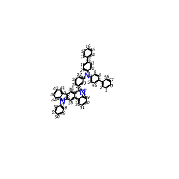 c1ccc(-c2ccc(N(c3ccc(-c4ccccc4)cc3)c3cccc(-c4nc5ccccc5c5cc6c(cc45)c4ccccc4n6-c4ccccc4)c3)cc2)cc1